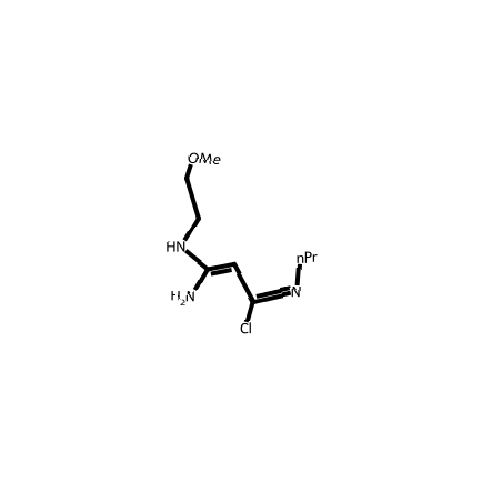 CCC/N=C(Cl)\C=C(/N)NCCOC